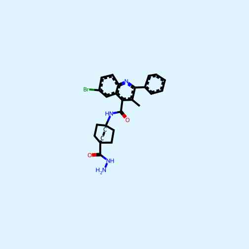 Cc1c(-c2ccccc2)nc2ccc(Br)cc2c1C(=O)NC12CCC(C(=O)NN)(CC1)CC2